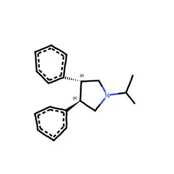 CC(C)N1C[C@@H](c2ccccc2)[C@H](c2ccccc2)C1